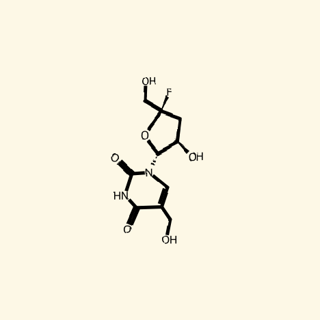 O=c1[nH]c(=O)n([C@@H]2O[C@](F)(CO)C[C@H]2O)cc1CO